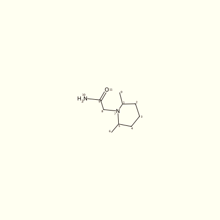 CC1CCCC(C)N1CC(N)=O